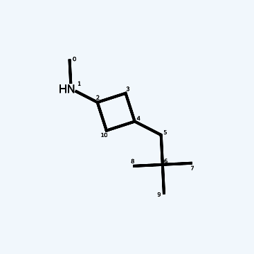 CNC1CC(CC(C)(C)C)C1